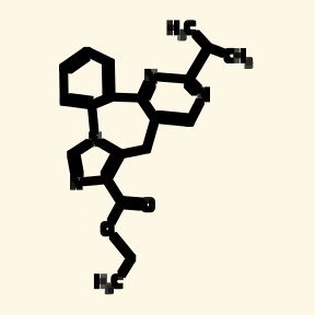 CCOC(=O)c1ncn2c1Cc1cnc(C(C)C)nc1-c1ccccc1-2